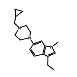 CCc1cn(C)c2cc(N3CCN(CC4CC4)CC3)ccc12